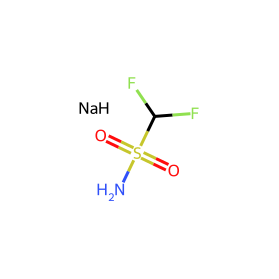 NS(=O)(=O)C(F)F.[NaH]